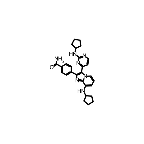 NC(=O)c1ccc(-c2nc3c(NC4CCCC4)cccn3c2-c2ccnc(NC3CCCC3)n2)cc1